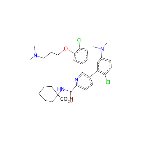 CN(C)CCCOc1cc(-c2nc(C(=O)NC3(C(=O)O)CCCCC3)ccc2-c2cc(N(C)C)ccc2Cl)ccc1Cl